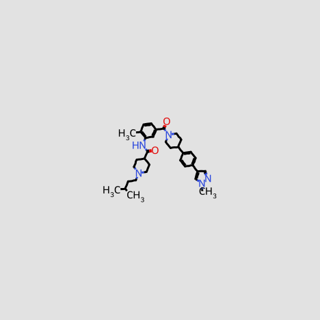 Cc1ccc(C(=O)N2CCC(c3ccc(-c4cnn(C)c4)cc3)CC2)cc1NC(=O)C1CCN(CCC(C)C)CC1